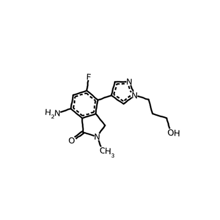 CN1Cc2c(c(N)cc(F)c2-c2cnn(CCCO)c2)C1=O